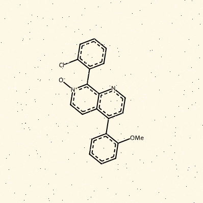 COc1ccccc1-c1ccnc2c(-c3ccccc3Cl)[n+]([O-])ccc12